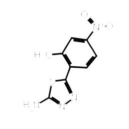 Cc1cc([N+](=O)[O-])ccc1-c1nnc(N)s1